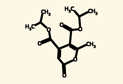 Cc1oc(=O)cc(C(=O)OC(C)C)c1C(=O)OC(C)C